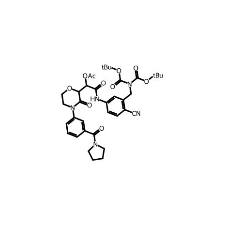 CC(=O)OC(C(=O)Nc1ccc(C#N)c(CN(C(=O)OC(C)(C)C)C(=O)OC(C)(C)C)c1)C1OCCN(c2cccc(C(=O)N3CCCC3)c2)C1=O